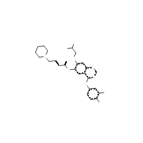 O=C(C=CCN1CCCCC1)Nc1cc2c(Nc3ccc(F)c(Cl)c3)ncnc2cc1OCC(F)F